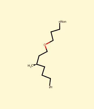 CCCCCCCCCCCCOCC[C@H](C)CCCC(C)C